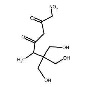 CC(C(=O)CC(=O)C[N+](=O)[O-])C(CO)(CO)CO